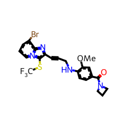 COc1cc(C(=O)N2CCC2)ccc1NCC#Cc1nc2c(Br)cccn2c1SC(F)(F)F